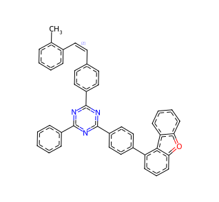 Cc1ccccc1/C=C\c1ccc(-c2nc(-c3ccccc3)nc(-c3ccc(-c4cccc5oc6ccccc6c45)cc3)n2)cc1